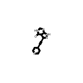 O=c1[nH]cnc2[nH]nc(C#Cc3ccncc3)c12